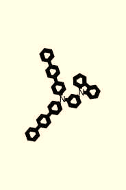 c1ccc(-c2ccc(-c3ccc(N(c4ccc(-c5ccc(-c6ccccc6)cc5)cc4)c4cccc(-n5c6ccccc6c6ccccc65)c4)cc3)cc2)cc1